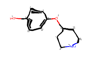 Oc1ccc(OC2CCNCC2)cc1